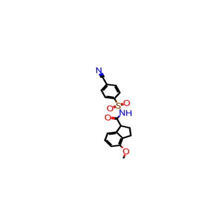 COc1cccc2c1CCC2C(=O)NS(=O)(=O)c1ccc(C#N)cc1